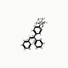 FS(F)(F)(F)(F)c1ccc(/C(=C/c2ccccc2)c2ccccc2)cc1